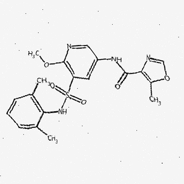 COc1ncc(NC(=O)c2ncoc2C)cc1S(=O)(=O)Nc1c(C)cccc1C